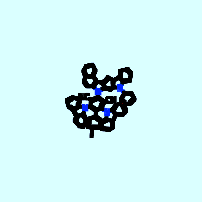 Cc1ccc(-c2c(-n3c4ccccc4c4ccccc43)c(C#N)c(-n3c4cc5c(cc4c4c6ccccc6ccc43)c3ccccc3n5-c3ccccc3)c(C#N)c2-n2c3ccccc3c3ccccc32)cc1